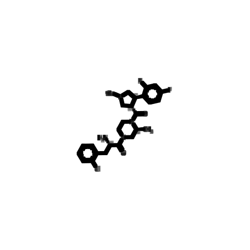 C[C@H]1CN(C(=O)[C@@H](N)Cc2ccccc2Cl)CCN1C(=O)[C@@H]1CN(C(C)(C)C)C[C@H]1c1ccc(F)cc1F